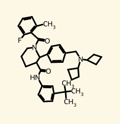 Cc1cccc(F)c1C(=O)N1CCCC(C(=O)Nc2cccc(C(C)(C)C)c2)C1c1ccc(CN(C2CCC2)C2CCC2)cc1